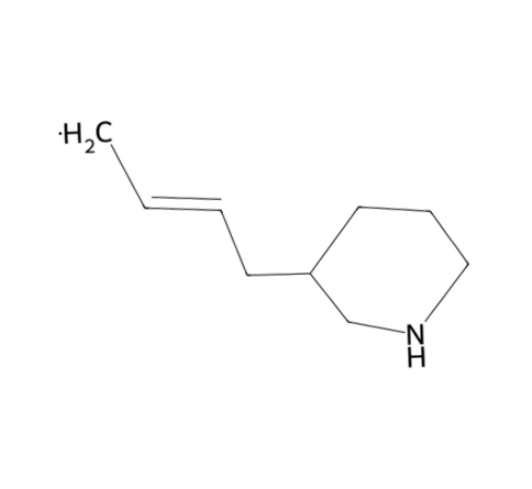 [CH2]C=CCC1CCCNC1